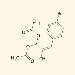 CC(=O)OC(OC(C)=O)C(C)=Cc1ccc(Br)cc1